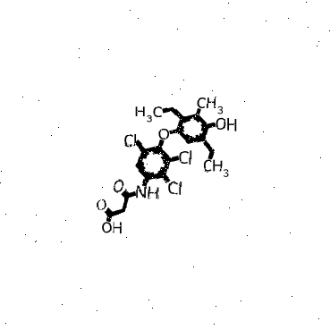 CCc1cc(Oc2c(Cl)cc(NC(=O)CC(=O)O)c(Cl)c2Cl)c(CC)c(C)c1O